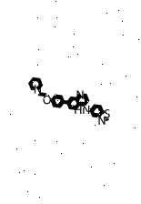 c1cc(Nc2ccc3scnc3c2)c2ccc(-c3ccc(OCCN4CCCCC4)cc3)cc2n1